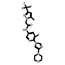 Cc1cc(C(F)(F)F)nn1CC(=O)Nc1cnc(-n2cnc(N3CCOCC3)c2)c(F)c1